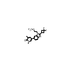 Cc1cc(-c2ccc3nc(C4CC(F)(F)C4)n(CCOC(F)(F)F)c3c2)cn(C)c1=O